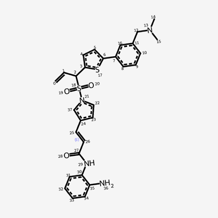 C=CC(c1ccc(-c2cccc(CN(C)C)c2)s1)S(=O)(=O)n1ccc(/C=C/C(=O)Nc2ccccc2N)c1